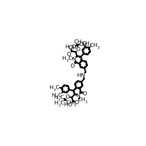 Cc1ccc(-c2c(C(OC(C)(C)C)C(=O)O)n(C)c(=O)c3cc(CNCc4ccc5c(-c6ccc(C)c(C)c6)c(C(OC(C)(C)C)C(=O)O)n(C)c(=O)c5c4)ccc23)cc1C